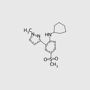 Cn1ccc(-c2cc(S(C)(=O)=O)ccc2NC2CCCCC2)n1